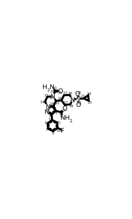 NC(=O)c1c(-c2cccc(F)c2)nn2c1C(C1CCN(S(=O)(=O)C3CC3)CC1)N(C(N)=O)CC2